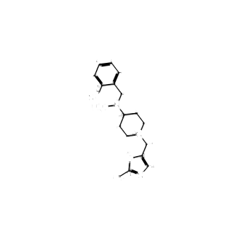 CN(Cc1ccccc1C#N)C1CCN(Cc2cnc(Cl)s2)CC1